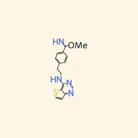 COC(=N)c1ccc(CCNc2ncnc3ccsc23)cc1